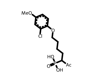 COc1ccc(OCCCCC(C(C)=O)P(=O)(O)O)c(Cl)c1